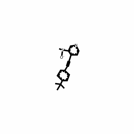 C[S+]([O-])c1cnccc1C#Cc1ccc(C(C)(C)C)cc1